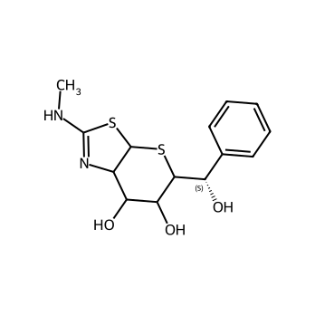 CNC1=NC2C(S1)SC([C@@H](O)c1ccccc1)C(O)C2O